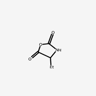 CCC1NC(=O)OC1=O